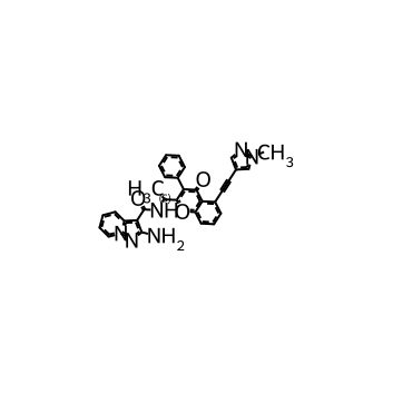 C[C@H](NC(=O)c1c(N)nn2ccccc12)c1oc2cccc(C#Cc3cnn(C)c3)c2c(=O)c1-c1ccccc1